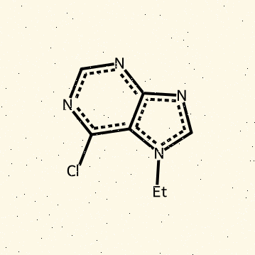 CCn1cnc2ncnc(Cl)c21